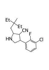 CCC(C)(CC)CC1NCC(c2cccc(Cl)c2F)C1C#N